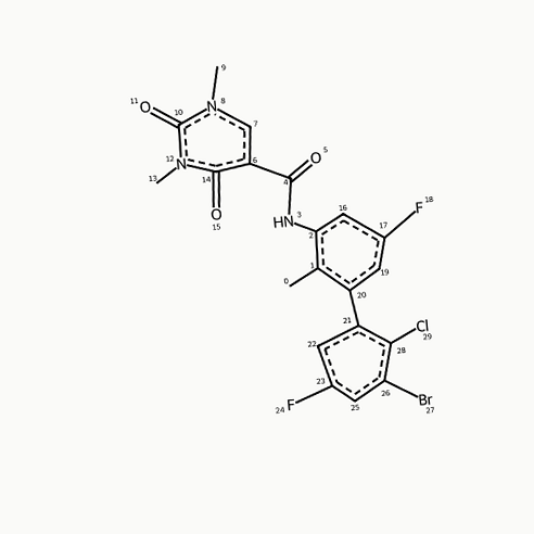 Cc1c(NC(=O)c2cn(C)c(=O)n(C)c2=O)cc(F)cc1-c1cc(F)cc(Br)c1Cl